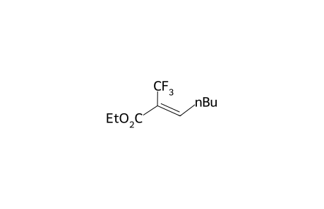 CCCCC=C(C(=O)OCC)C(F)(F)F